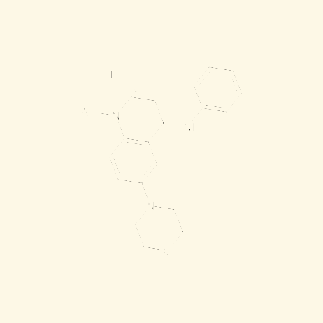 CC(=O)N1c2ccc(N3CCOCC3)cc2[C@@H](Nc2ccccc2)C[C@H]1C